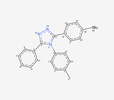 Cc1ccc(-n2c(-c3ccccc3)nnc2-c2ccc(C(C)(C)C)cc2)cc1